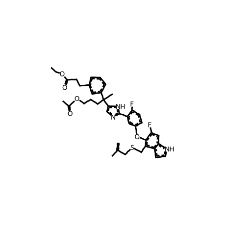 C=C(C)CSCc1c(Oc2ccc(F)c(-c3ncc(C(C)(CCCOC(C)=O)c4cccc(CCC(=O)OCC)c4)[nH]3)c2)c(F)cc2[nH]ccc12